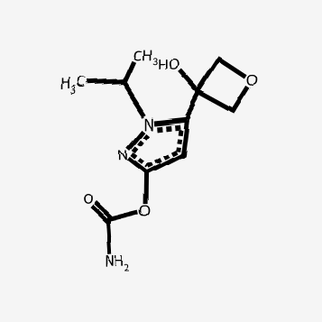 CC(C)n1nc(OC(N)=O)cc1C1(O)COC1